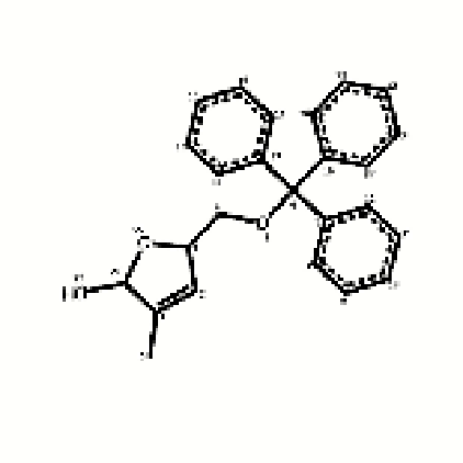 CC1=CC(COC(c2ccccc2)(c2ccccc2)c2ccccc2)OC1O